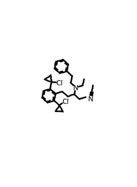 CC#N.CCC(CCc1c(C2(Cl)CC2)cccc1C1(Cl)CC1)N(CC)CCc1ccccc1